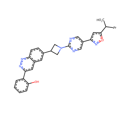 CC(C)C(C(=O)O)c1cc(-c2cnc(N3CC(c4ccc5nnc(-c6ccccc6O)cc5c4)C3)nc2)no1